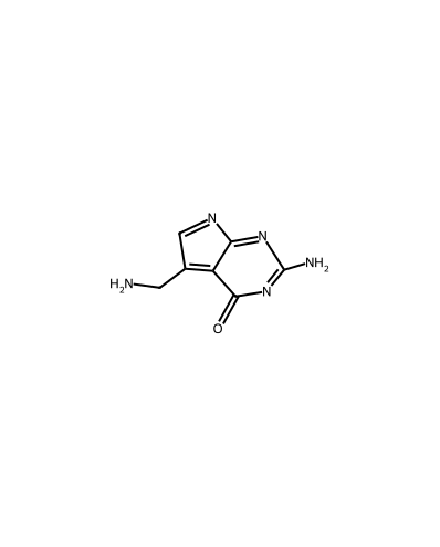 NCC1=C2C(=O)N=C(N)N=C2N=C1